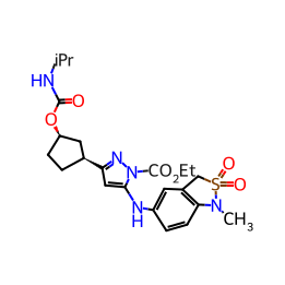 CCOC(=O)n1nc([C@H]2CC[C@@H](OC(=O)NC(C)C)C2)cc1Nc1ccc2c(c1)CS(=O)(=O)N2C